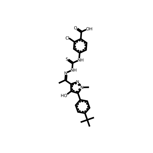 CC(=NNC(=S)Nc1ccc(C(=O)O)c(Cl)c1)c1nn(C)c(-c2ccc(C(C)(C)C)cc2)c1O